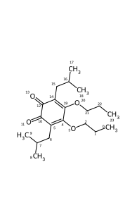 CCCOC1=C(CC(C)C)C(=O)C(=O)C(CC(C)C)=C1OCCC